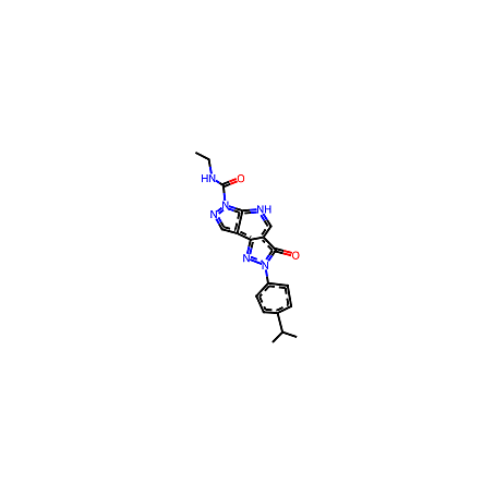 CCNC(=O)n1ncc2c3nn(-c4ccc(C(C)C)cc4)c(=O)c-3c[nH]c21